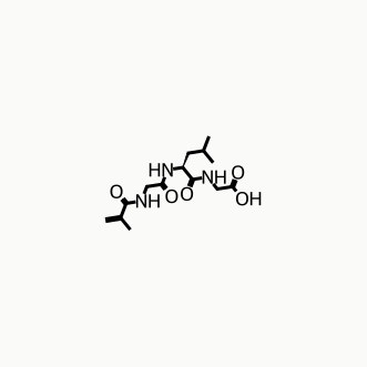 C=C(C)C(=O)NCC(=O)N[C@@H](CC(C)C)C(=O)NCC(=O)O